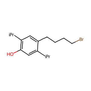 CC(C)c1cc(CCCCBr)c(C(C)C)cc1O